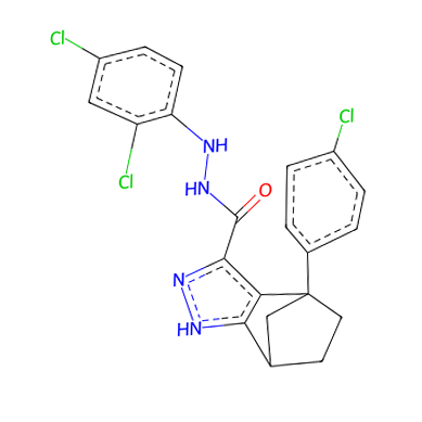 O=C(NNc1ccc(Cl)cc1Cl)c1n[nH]c2c1C1(c3ccc(Cl)cc3)CCC2C1